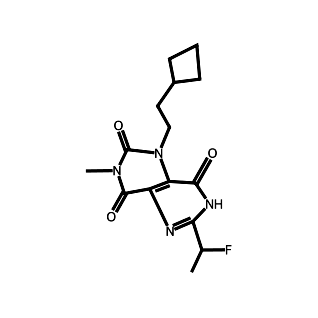 CC(F)c1nc2c(=O)n(C)c(=O)n(CCC3CCC3)c2c(=O)[nH]1